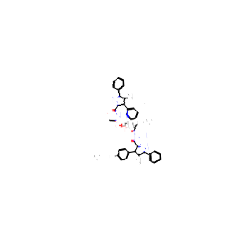 COc1ccc(C2C(C(=O)NC(CC(C)C)OBOC(CC(C)C)NC(=O)C3NC(c4ccccc4)C([N+](=O)[O-])C3c3ccc(OC)cc3)NC(c3ccccc3)C2[N+](=O)[O-])cc1